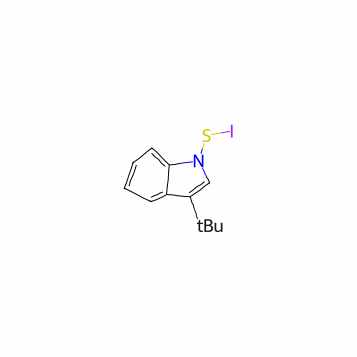 CC(C)(C)c1cn(SI)c2ccccc12